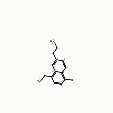 CCc1ccc(Br)c2cnc(COC)cc12